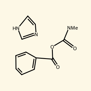 CNC(=O)OC(=O)c1ccccc1.c1c[nH]cn1